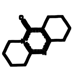 O=c1c2c(nc3n1CCCC3)CCCC2